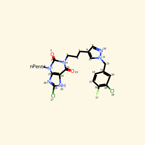 CCCCCn1c(=O)n(CCCc2cnn(Cc3ccc(F)c(Cl)c3)c2)c(=O)c2[nH]c(Cl)nc21